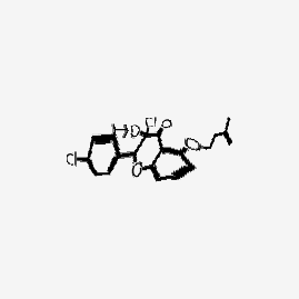 C=C(C)CCOc1cccc2c1C(=O)C(O)(Cl)C(c1ccc(Cl)cc1)O2